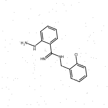 N=C(NCc1ccccc1Cl)c1ccccc1NN